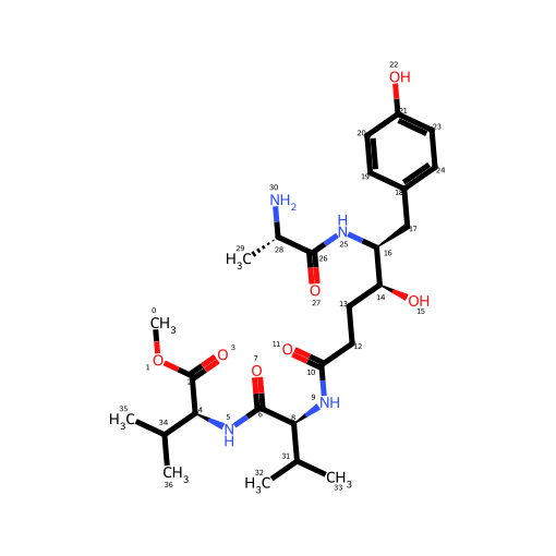 COC(=O)[C@@H](NC(=O)[C@@H](NC(=O)CC[C@H](O)[C@H](Cc1ccc(O)cc1)NC(=O)[C@H](C)N)C(C)C)C(C)C